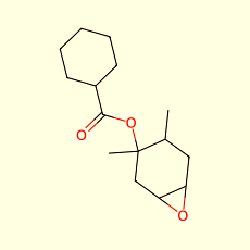 CC1CC2OC2CC1(C)OC(=O)C1CCCCC1